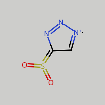 O=S(=O)=C1C=[N+]N=N1